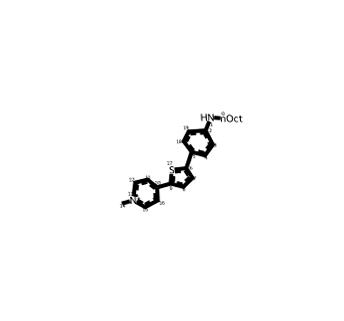 CCCCCCCCNc1ccc(-c2ccc(-c3cc[n+](C)cc3)s2)cc1